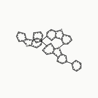 c1ccc(-c2ccc3c4ccc(-c5ccccc5)cc4n(-c4cccc5sc6ccc(-c7ccc8oc9ccccc9c8c7)cc6c45)c3c2)cc1